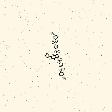 CCC[C@H]1CC[C@H](OC(=O)[C@H]2CC[C@H](C(=O)Oc3ccc(OC(=O)[C@H]4CC[C@H](C(=O)O[C@H]5CC[C@H](CCC)CC5)CC4)c4nc(-c5ccccc5)cnc34)CC2)CC1